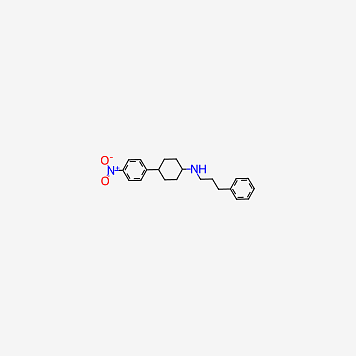 O=[N+]([O-])c1ccc(C2CCC(NCCCc3ccccc3)CC2)cc1